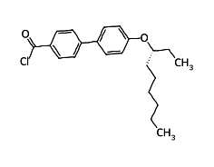 CCCCCC[C@@H](CC)Oc1ccc(-c2ccc(C(=O)Cl)cc2)cc1